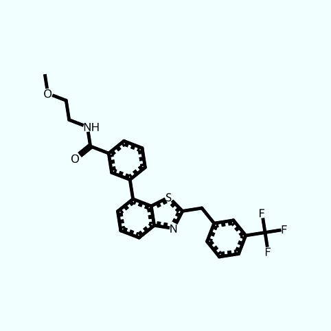 COCCNC(=O)c1cccc(-c2cccc3nc(Cc4cccc(C(F)(F)F)c4)sc23)c1